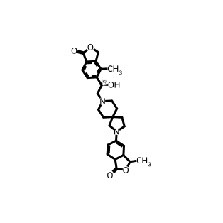 Cc1c([C@@H](O)CN2CCC3(CC2)CCN(C2=CC4C(C)OC(=O)C4C=C2)C3)ccc2c1COC2=O